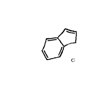 C1=Cc2ccccc2C1.[C]